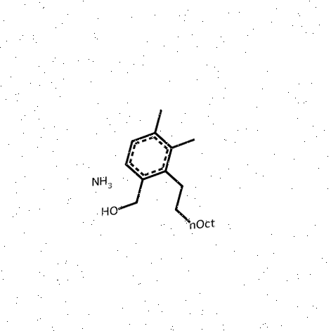 CCCCCCCCCCc1c(CO)ccc(C)c1C.N